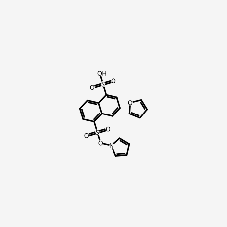 O=S(=O)(O)c1cccc2c(S(=O)(=O)On3cccc3)cccc12.c1ccoc1